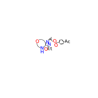 CCc1nn(C[C@@H](C)COC(=O)c2ccc(C(C)=O)cc2)c2c1C(=O)NCCCOCCC2